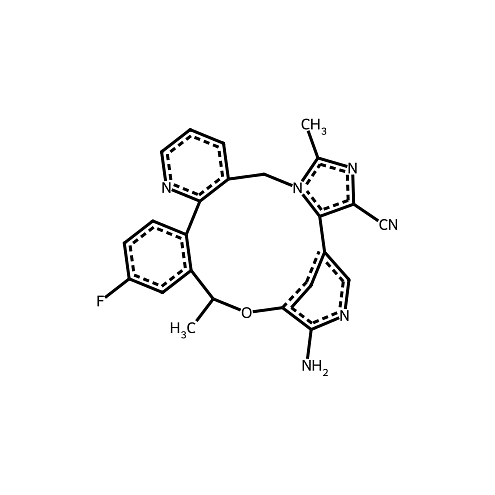 Cc1nc(C#N)c2n1Cc1cccnc1-c1ccc(F)cc1C(C)Oc1cc-2cnc1N